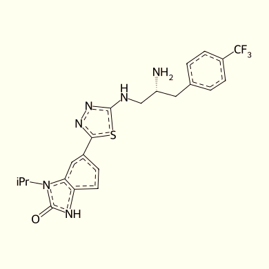 CC(C)n1c(=O)[nH]c2ccc(-c3nnc(NC[C@H](N)Cc4ccc(C(F)(F)F)cc4)s3)cc21